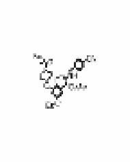 CCOc1cc(OC2CCN(C(=O)OC(C)(C)C)CC2)c(F)c(C(OC)C(=O)NCc2ccc(C#N)cc2)c1